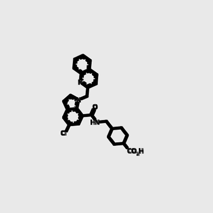 O=C(NCC1CCC(C(=O)O)CC1)c1cc(Cl)cc2ccn(Cc3ccc4ccccc4n3)c12